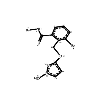 O=C(NBr)c1cccc(Br)c1COc1ccn(O)n1